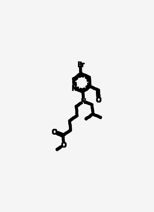 COC(=O)CCCCN(CC(C)C)c1ncc(Br)cc1C=O